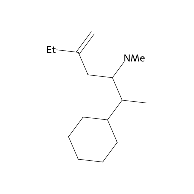 C=C(CC)CC(NC)C(C)C1CCCCC1